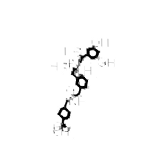 COC(=O)c1ccc(CNC(=O)Cc2cccc(CC(C)(C)NC[C@H](O)c3cc(O)cc(O)c3)c2)cc1